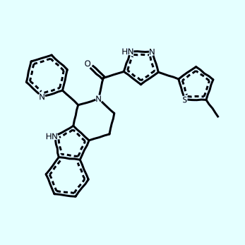 Cc1ccc(-c2cc(C(=O)N3CCc4c([nH]c5ccccc45)C3c3ccccn3)[nH]n2)s1